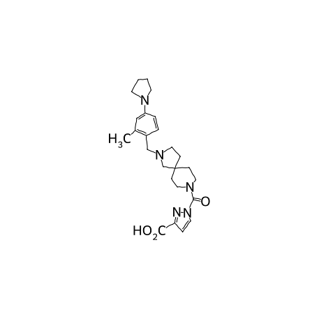 Cc1cc(N2CCCC2)ccc1CN1CCC2(CCN(C(=O)n3ccc(C(=O)O)n3)CC2)C1